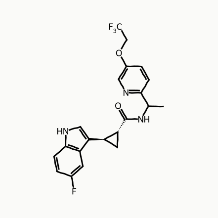 CC(NC(=O)[C@@H]1C[C@H]1c1c[nH]c2ccc(F)cc12)c1ccc(OCC(F)(F)F)cn1